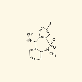 CCCNC1c2ccccc2N(C)S(=O)(=O)c2cc(I)ccc21